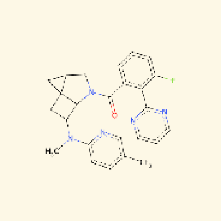 CN(c1ccc(C(F)(F)F)cn1)C1CC23CC2CN(C(=O)c2cccc(F)c2-c2ncccn2)C13